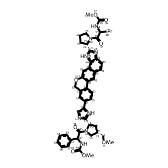 COC[C@H]1C[C@@H](c2ncc(-c3ccc4c(c3)COc3cc5c(ccc6nc([C@@H]7CCCN7C(=O)C(NC(=O)OC)C(C)C)[nH]c65)cc3-4)[nH]2)N(C(=O)C(NC(=O)OC)c2ccccc2)C1